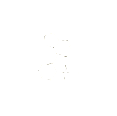 O=S(=O)(O)c1nccnc1-c1cccc2c1OCC2